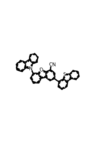 N#Cc1cc(-c2cccc3c2sc2ccccc23)cc2c1oc1c(-n3c4ccccc4c4ccccc43)cccc12